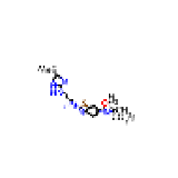 CSc1cnc(NCCCNc2nc3ccc(C(=O)NC(C)(C)C(=O)O)cc3s2)nc1